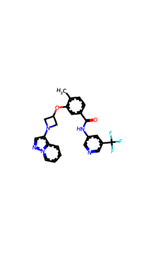 Cc1ccc(C(=O)Nc2cncc(C(F)(F)F)c2)cc1OC1CN(c2cnn3ccccc23)C1